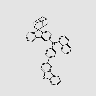 c1ccc2c(c1)-c1cc(N(c3ccc(-c4ccc5sc6ccccc6c5c4)cc3)c3cccc4ccccc34)ccc1C21C2CC3CC(C2)CC1C3